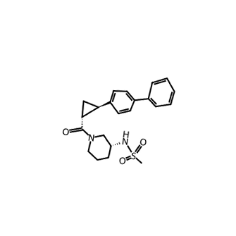 CS(=O)(=O)N[C@@H]1CCCN(C(=O)[C@@H]2C[C@H]2c2ccc(-c3ccccc3)cc2)C1